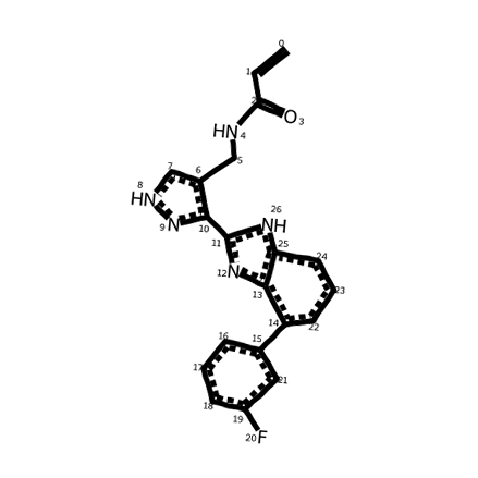 C=CC(=O)NCc1c[nH]nc1-c1nc2c(-c3cccc(F)c3)cccc2[nH]1